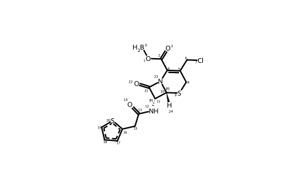 BOC(=O)C1=C(CCl)CS[C@@H]2[C@H](NC(=O)Cc3cccs3)C(=O)N12